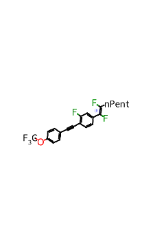 CCCCC/C(F)=C(\F)c1ccc(C#Cc2ccc(OC(F)(F)F)cc2)c(F)c1